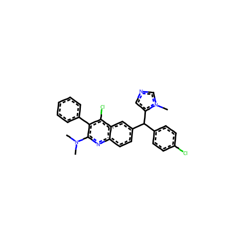 CN(C)c1nc2ccc(C(c3ccc(Cl)cc3)c3cncn3C)cc2c(Cl)c1-c1ccccc1